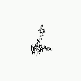 CCCCOc1nc(N)c2[nH]c(=O)n(CCCCCCN3CCN(C)CC3)c2n1